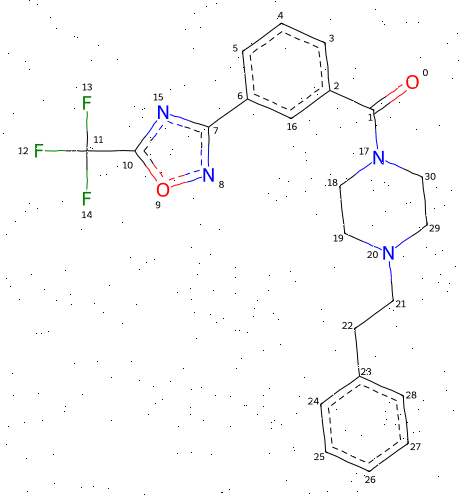 O=C(c1cccc(-c2noc(C(F)(F)F)n2)c1)N1CCN(CCc2ccccc2)CC1